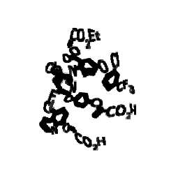 CCOC(=O)COC(=O)c1cc(Oc2ccc(C(F)(F)F)cc2Cl)ccc1[N+](=O)[O-].C[C@@H](Oc1ccc(Oc2ncc(Cl)cc2F)cc1)C(=O)O.O=C(O)COc1ccc(Cl)c2cccnc12